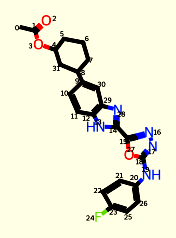 CC(=O)OC1CCCC(c2ccc3[nH]c(-c4nnc(Nc5ccc(F)cc5)o4)nc3c2)C1